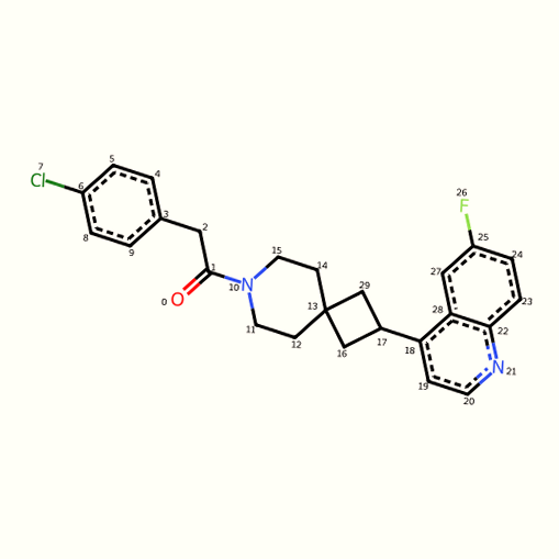 O=C(Cc1ccc(Cl)cc1)N1CCC2(CC1)CC(c1ccnc3ccc(F)cc13)C2